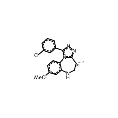 COc1ccc2c(c1)NC[C@@H](C)c1nnc(-c3cccc(Cl)c3)n1-2